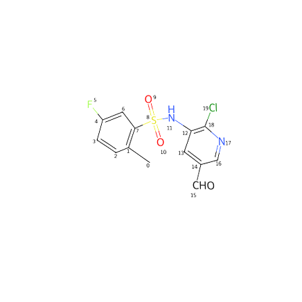 Cc1ccc(F)cc1S(=O)(=O)Nc1cc(C=O)cnc1Cl